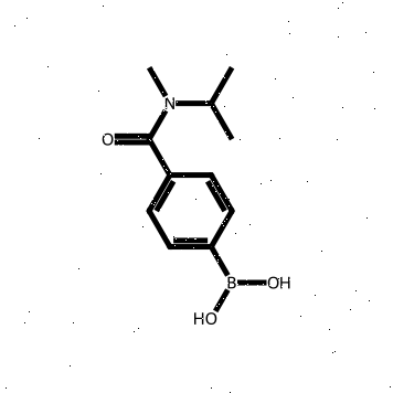 CC(C)N(C)C(=O)c1ccc(B(O)O)cc1